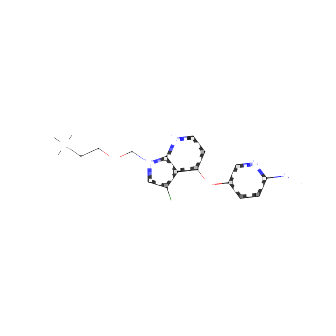 C[Si](C)(C)CCOCn1cc(Cl)c2c(Oc3ccc(N)nc3)ccnc21